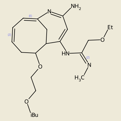 CCOC/C(=N/C)NC1=CC(N)=N/C2=C/C=C\CC(OCCOC(C)CC)C1C2